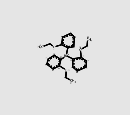 CCOc1cccc[c]1[Bi]([c]1ccccc1OCC)[c]1ccccc1OCC